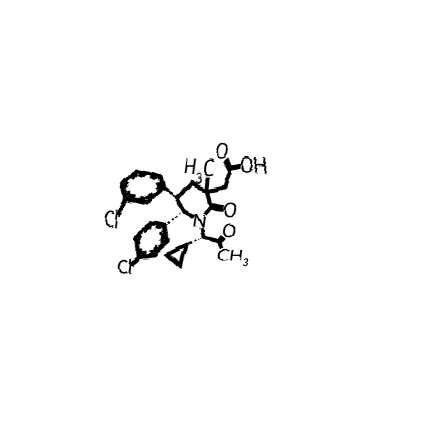 CC(=O)[C@H](C1CC1)N1C(=O)C(C)(CC(=O)O)C[C@H](c2cccc(Cl)c2)[C@H]1c1ccc(Cl)cc1